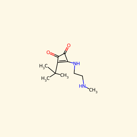 CNCCNc1c(C(C)(C)C)c(=O)c1=O